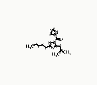 CCCCCc1nc(CC(C)C)n(C(=O)n2cncn2)n1